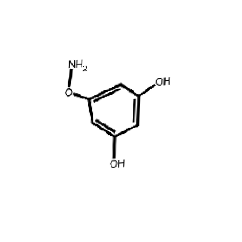 NOc1cc(O)cc(O)c1